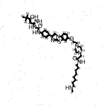 CNCCCCCCCCNC(=O)CN1CCN(CCOc2ccc3c(c2)sc2nc(-c4ccc(NC(=O)NC(=N)/C=C(\O)C(C)(C)C)cc4)cn23)CC1